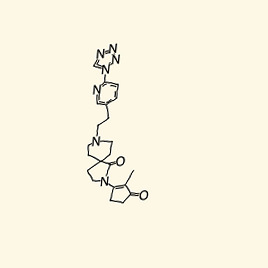 CC1=C(N2CCC3(CCN(CCc4ccc(-n5cnnn5)nc4)CC3)C2=O)CCC1=O